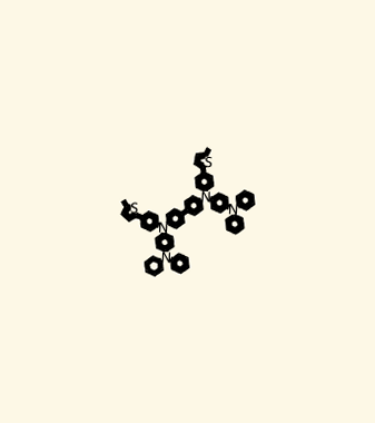 Cc1ccc(-c2ccc(N(c3ccc(-c4ccc(N(c5ccc(-c6ccc(C)s6)cc5)c5ccc(N(c6ccccc6)C6CCCCC6)cc5)cc4)cc3)c3ccc(N(c4ccccc4)c4ccccc4)cc3)cc2)s1